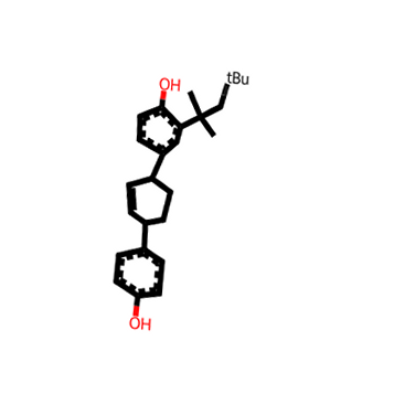 CC(C)(C)CC(C)(C)c1cc(C2C=CC(c3ccc(O)cc3)CC2)ccc1O